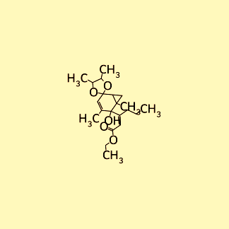 CCC/C(=C/C(=O)OCC)C1(O)C(C)=CC2(OC(C)C(C)O2)C2CC21C